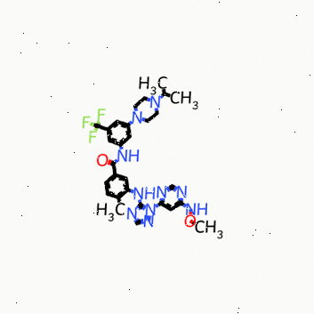 CONc1cc(-n2ncnc2Nc2cc(C(=O)Nc3cc(N4CCN(C(C)C)CC4)cc(C(F)(F)F)c3)ccc2C)ncn1